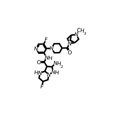 CN1CC2CC1CN2C(=O)C1CCN(c2c(F)cncc2NC(=O)C2C(N)NN3CC(F)CNC23)CC1